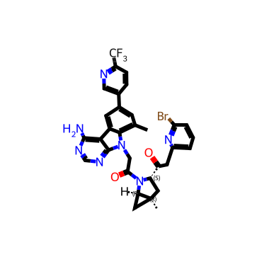 Cc1cc(-c2ccc(C(F)(F)F)nc2)cc2c3c(N)ncnc3n(CC(=O)N3[C@H](C(=O)Cc4cccc(Br)n4)C[C@@]4(C)C[C@@H]34)c12